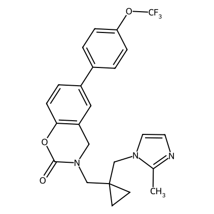 Cc1nccn1CC1(CN2Cc3cc(-c4ccc(OC(F)(F)F)cc4)ccc3OC2=O)CC1